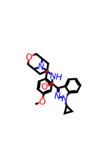 COc1ccc(CN2C3COCC2CC(NC(=O)c2nn(C4CC4)c4ccccc24)C3)cc1